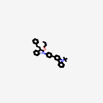 C/C=C\COC(Nc1ccc(-c2ccc3c(c2)c2ccccc2n3C(C)(C)C)cc1)C(CCc1ccccc1)c1ccccc1